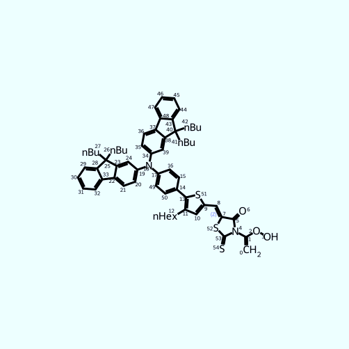 C=C(OO)N1C(=O)/C(=C/c2cc(CCCCCC)c(-c3ccc(N(c4ccc5c(c4)C(CCCC)(CCCC)c4ccccc4-5)c4ccc5c(c4)C(CCCC)(CCCC)c4ccccc4-5)cc3)s2)SC1=S